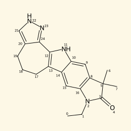 CCN1C(=O)C(C)(C)c2cc3[nH]c4c(c3cc21)CCCc1c[nH]nc1-4